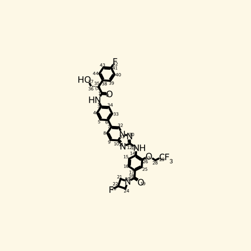 O=C(Nc1ccc(-c2ccc3nc(Nc4ccc(C(=O)N5CC(F)C5)cc4OCC(F)(F)F)nn3c2)cc1)[C@H](CO)c1ccc(F)cc1